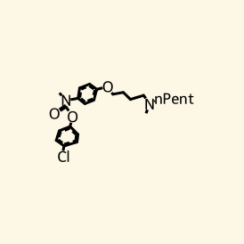 CCCCCN(C)CCCCOc1ccc(N(C)C(=O)Oc2ccc(Cl)cc2)cc1